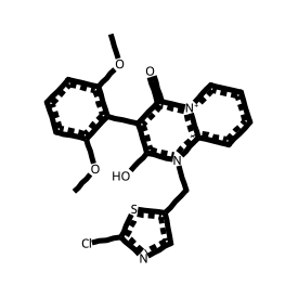 COc1cccc(OC)c1-c1c(O)n(Cc2cnc(Cl)s2)c2cccc[n+]2c1=O